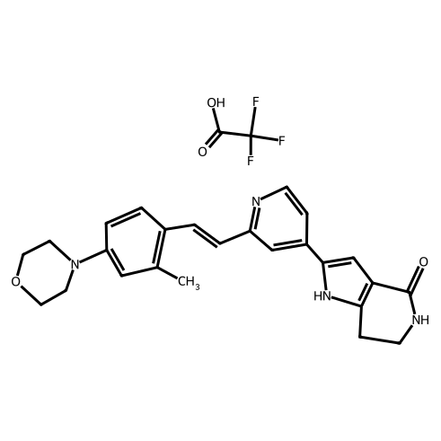 Cc1cc(N2CCOCC2)ccc1C=Cc1cc(-c2cc3c([nH]2)CCNC3=O)ccn1.O=C(O)C(F)(F)F